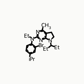 CCC(CC)N1CCc2c(C)nc(N(CC)c3ccc(C(C)C)cc3Br)nc21